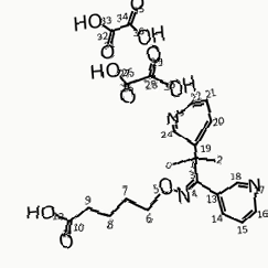 CC(C)(C(=NOCCCCC(=O)O)c1cccnc1)c1cccnc1.O=C(O)C(=O)O.O=C(O)C(=O)O